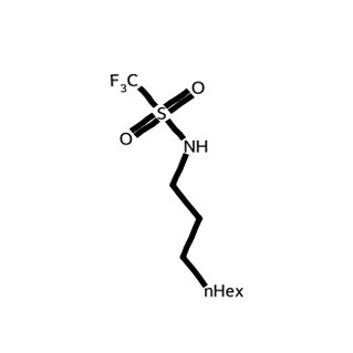 CCCCCCCCCNS(=O)(=O)C(F)(F)F